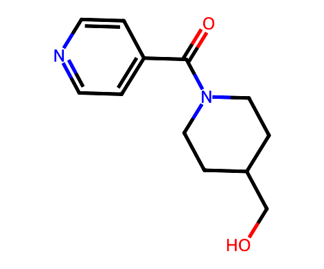 O=C(c1ccncc1)N1CCC(CO)CC1